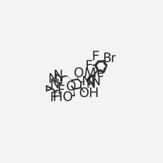 CO[C@@H]1[C@@H](n2cc(-c3ccc(Br)c(F)c3F)nn2)[C@@H](O)[C@@H](CO)O[C@@H]1Cc1cn(C2(C(F)F)CC2)nn1